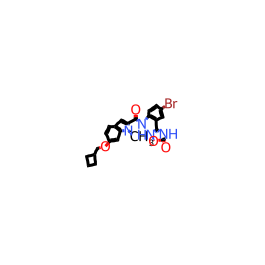 Cn1c(C(=O)Nc2ccc(Br)cc2-c2noc(=O)[nH]2)cc2ccc(OCC3CCC3)cc21